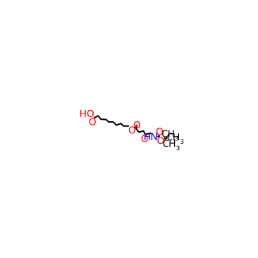 CC(C)(C)OC(=O)NCC(=O)CCC(=O)OCCCCCCCCCC(=O)O